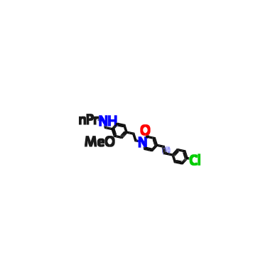 CCCNCc1ccc(CCn2ccc(/C=C/c3ccc(Cl)cc3)cc2=O)cc1OC